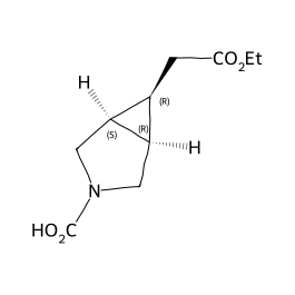 CCOC(=O)C[C@H]1[C@H]2CN(C(=O)O)C[C@@H]12